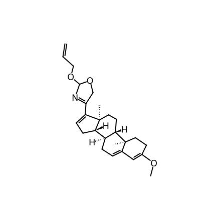 C=CCOC1N=C(C2=CC[C@H]3[C@@H]4CC=C5C=C(OC)CC[C@]5(C)[C@H]4CC[C@]23C)CO1